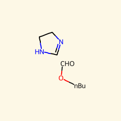 C1=NCCN1.CCCCOC=O